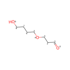 O=CCCOCCCCO